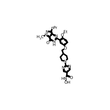 CCCc1nn(C)c2c(=O)[nH]c(-c3cc(OCC4CCN(c5ncc(C(=O)NO)cn5)CC4)ccc3OCC)nc12